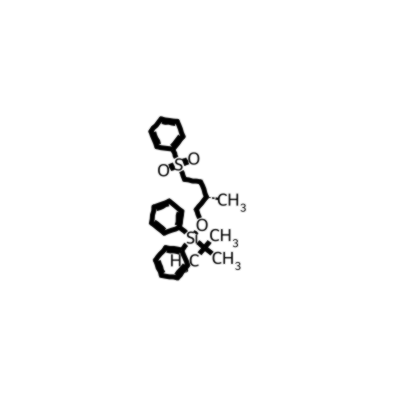 C[C@@H](CCS(=O)(=O)c1ccccc1)CO[Si](c1ccccc1)(c1ccccc1)C(C)(C)C